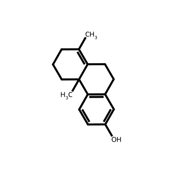 CC1=C2CCc3cc(O)ccc3C2(C)CCC1